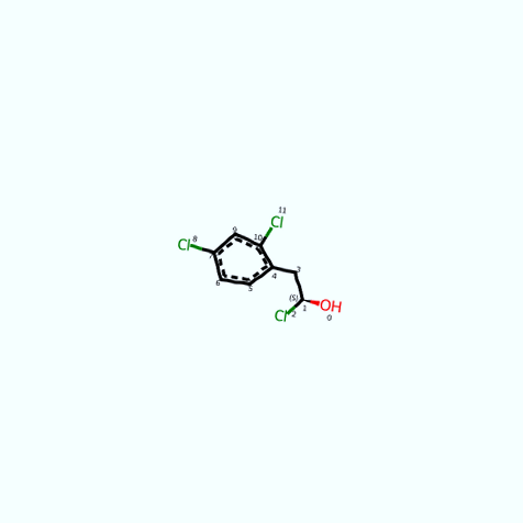 O[C@@H](Cl)Cc1ccc(Cl)cc1Cl